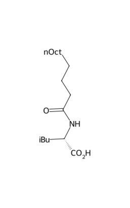 CCCCCCCCCCCC(=O)N[C@H](C(=O)O)C(C)CC